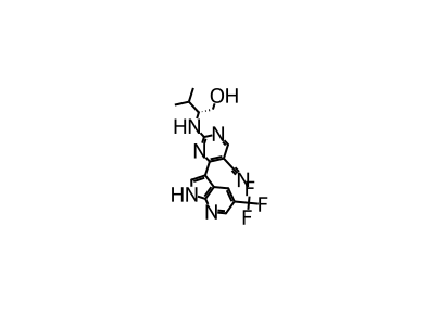 CC(C)[C@H](CO)Nc1ncc(C#N)c(-c2c[nH]c3ncc(C(F)(F)F)cc23)n1